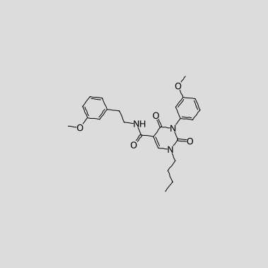 CCCCn1cc(C(=O)NCCc2cccc(OC)c2)c(=O)n(-c2cccc(OC)c2)c1=O